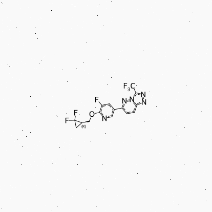 Fc1cc(-c2ccc3nnc(C(F)(F)F)n3n2)cnc1OC[C@H]1CC1(F)F